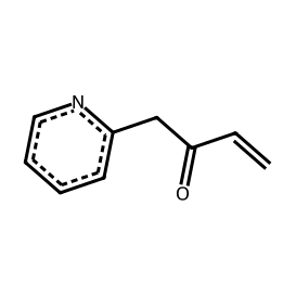 C=CC(=O)Cc1ccccn1